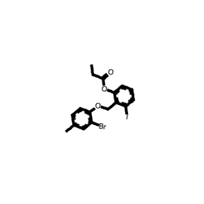 CCC(=O)Oc1cccc(I)c1COc1ccc(C)cc1Br